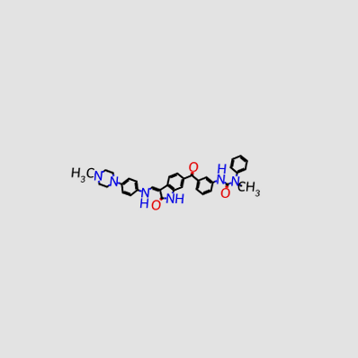 CN1CCN(c2ccc(NC=C3C(=O)Nc4cc(C(=O)c5cccc(NC(=O)N(C)c6ccccc6)c5)ccc43)cc2)CC1